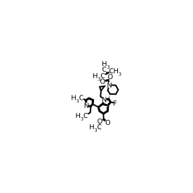 CCc1nc(C)ccc1-c1cc(C(=O)OC)cc2c(F)c([C@H]3CCCN(C(=O)OC(C)(C)C)C3)n(CC3CC3)c12